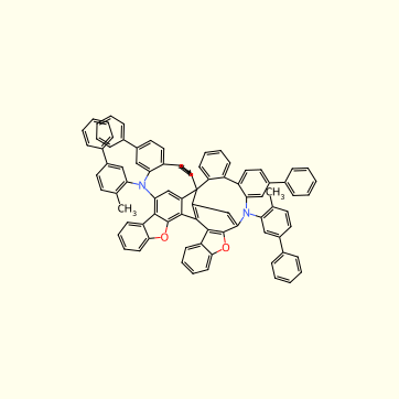 Cc1ccc(-c2ccccc2)cc1N1c2cc(-c3ccccc3)ccc2-c2ccccc2C23c4ccccc4-c4ccc(-c5ccccc5)cc4N(c4cc(-c5ccccc5)ccc4C)c4cc2c(c2oc5ccccc5c42)-c2c3cc1c1oc3ccccc3c21